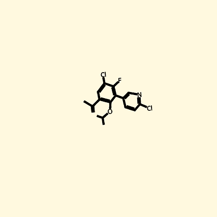 C=C(C)c1cc(Cl)c(F)c(-c2ccc(Cl)nc2)c1OC(C)C